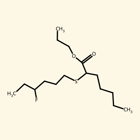 CCCCCC(SCCCC(F)CC)C(=O)OCCC